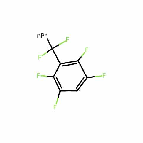 CCCC(F)(F)c1c(F)c(F)[c]c(F)c1F